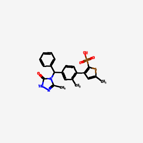 Cc1cc(-c2ccc(C(c3ccccc3)n3c(C)n[nH]c3=O)cc2C)c(S(=O)(=O)O)s1